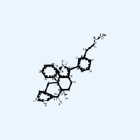 C[C@@H]1c2oncc2C[C@]2(c3ccccc3)c3n[nH]c(-c4cccc(CCCO)c4)c3CC[C@@H]12